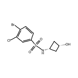 O=S(=O)(N[C@H]1C[C@@H](O)C1)c1ccc(Br)c(Cl)c1